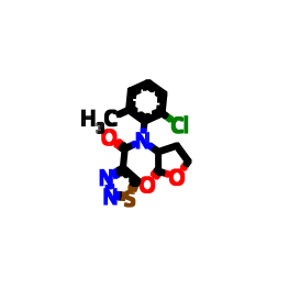 Cc1cccc(Cl)c1N(C(=O)c1csnn1)C1CCOC1=O